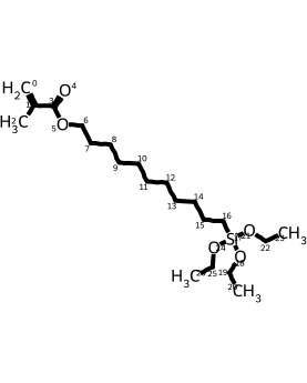 C=C(C)C(=O)OCCCCCCCCCCC[Si](OCC)(OCC)OCC